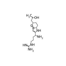 C=C(O)CC1CCC2NC(C(N)CCCNC(=N)N)=CB2O1